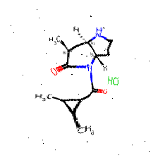 CC1C(C)C1C(=O)N1C(=O)[C@@H](C)[C@H]2NCC[C@@H]21.Cl